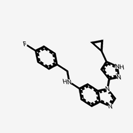 Fc1ccc(CNc2ccc3ncn(-c4cc(C5CC5)[nH]n4)c3c2)cc1